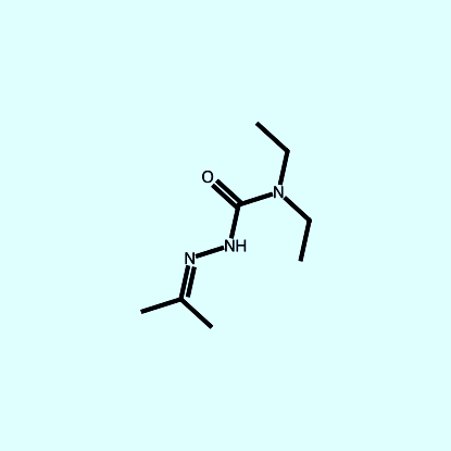 CCN(CC)C(=O)NN=C(C)C